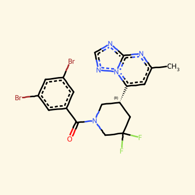 Cc1cc([C@H]2CN(C(=O)c3cc(Br)cc(Br)c3)CC(F)(F)C2)n2ncnc2n1